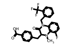 CN1c2c(F)cccc2N(Cc2ccccc2C(F)(F)F)C(=O)C1Cc1ccc(C(=O)O)cc1